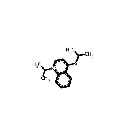 CC(C)Sc1cc[n+](C(C)C)c2ccccc12